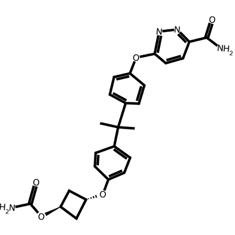 CC(C)(c1ccc(Oc2ccc(C(N)=O)nn2)cc1)c1ccc(O[C@H]2C[C@H](OC(N)=O)C2)cc1